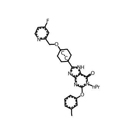 CCCn1c(Oc2cccc(C)c2)nc2nc(C34CCC(OCc5cc(F)ccn5)(CC3)CC4)[nH]c2c1=O